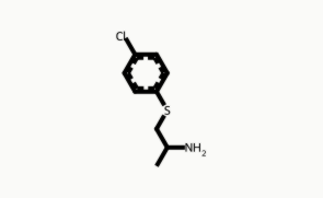 CC(N)CSc1ccc(Cl)cc1